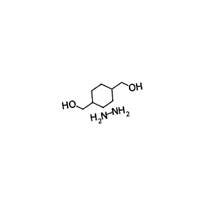 NN.OCC1CCC(CO)CC1